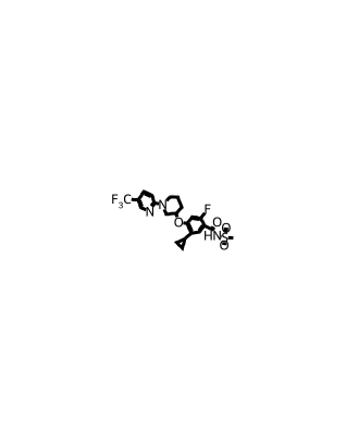 CS(=O)(=O)NC(=O)c1cc(C2CC2)c(OC2CCCN(c3ccc(C(F)(F)F)cn3)C2)cc1F